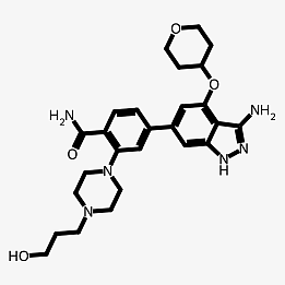 NC(=O)c1ccc(-c2cc(OC3CCOCC3)c3c(N)n[nH]c3c2)cc1N1CCN(CCCO)CC1